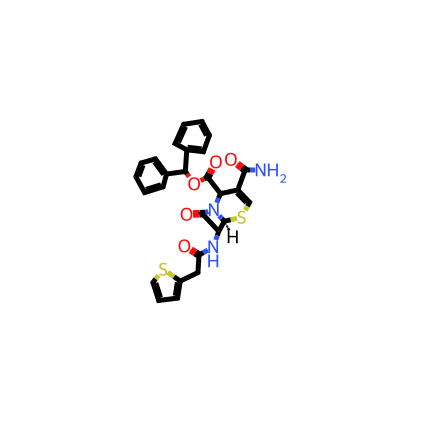 NC(=O)C1=CS[C@H]2C(NC(=O)Cc3cccs3)C(=O)N2C1C(=O)OC(c1ccccc1)c1ccccc1